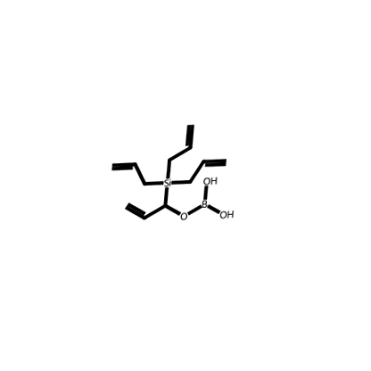 C=CC[Si](CC=C)(CC=C)C(C=C)OB(O)O